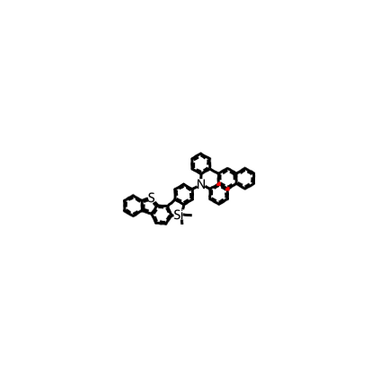 C[Si]1(C)c2cc(N(c3ccccc3)c3ccccc3-c3ccc4ccccc4c3)ccc2-c2c1ccc1c2sc2ccccc21